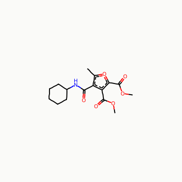 COC(=O)c1oc(C)c(C(=O)NC2CCCCC2)c1C(=O)OC